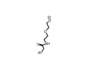 CCOCCOCCNC(=O)CC(C)C